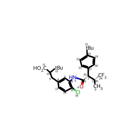 C[C@H]([C@H](C(=O)Nc1cc(CC(C(=O)O)C(C)(C)C)ccc1Cl)c1ccc(C(C)(C)C)cc1)C(F)(F)F